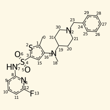 Cc1sc(S(=O)(=O)Nc2cccc(F)n2)cc1N(C)C1CCN(Cc2ccccc2)CC1